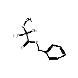 COC(C)(C)C(=O)OCc1ccccc1